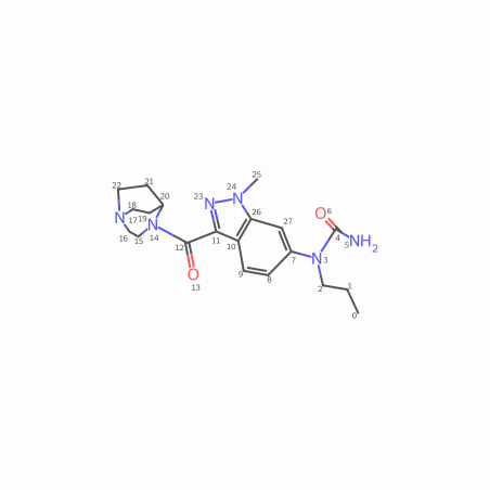 CCCN(C(N)=O)c1ccc2c(C(=O)N3CCN4CCC3CC4)nn(C)c2c1